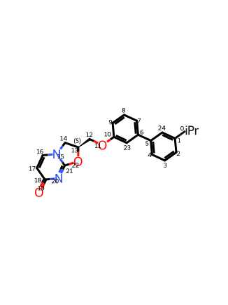 CC(C)c1cccc(-c2cccc(OC[C@@H]3Cn4ccc(=O)nc4O3)c2)c1